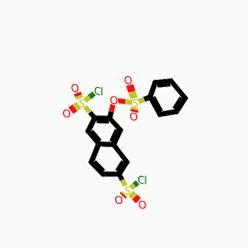 O=S(=O)(Cl)c1ccc2cc(S(=O)(=O)Cl)c(OS(=O)(=O)c3ccccc3)cc2c1